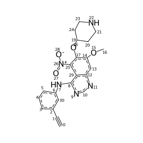 C#Cc1cccc(Nc2ncnc3cc(OC)c(OC4CCNCC4)c([N+](=O)[O-])c23)c1